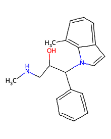 CNCC(O)C(c1ccccc1)n1ccc2cccc(C)c21